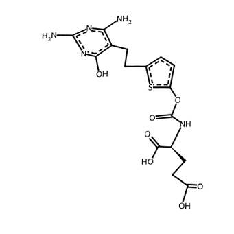 Nc1nc(N)c(CCc2ccc(OC(=O)N[C@@H](CCC(=O)O)C(=O)O)s2)c(O)n1